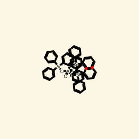 [O]=[V](=[O])([O][Si](c1ccccc1)(c1ccccc1)c1ccccc1)([O][Si](c1ccccc1)(c1ccccc1)c1ccccc1)[O][Si](c1ccccc1)(c1ccccc1)c1ccccc1